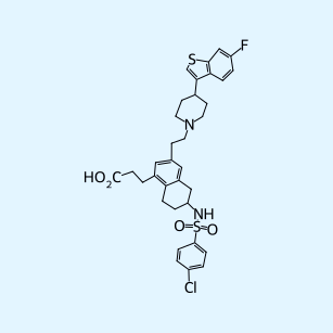 O=C(O)CCc1cc(CCN2CCC(c3csc4cc(F)ccc34)CC2)cc2c1CCC(NS(=O)(=O)c1ccc(Cl)cc1)C2